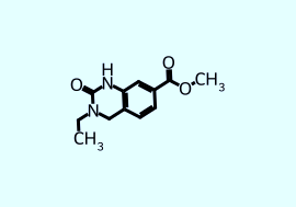 CCN1Cc2ccc(C(=O)OC)cc2NC1=O